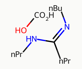 CCCCN=C(CCC)NCCC.O=C(O)O